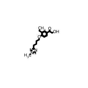 CCc1cc(C(=O)CO)ccc1OCCCCc1nnn(C)n1